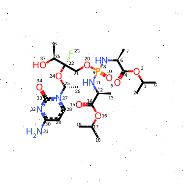 CC(C)OC(=O)[C@H](C)NP(=O)(N[C@@H](C)C(=O)OC(C)C)OC[C@@](F)(O[C@H](C)n1ccc(N)nc1=O)[C@H](C)O